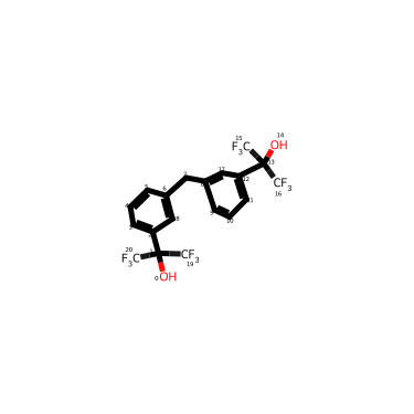 OC(c1cccc(Cc2cccc(C(O)(C(F)(F)F)C(F)(F)F)c2)c1)(C(F)(F)F)C(F)(F)F